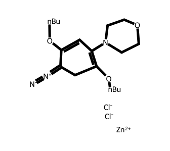 CCCCOC1=CC(N2CCOCC2)=C(OCCCC)CC1=[N+]=[N-].[Cl-].[Cl-].[Zn+2]